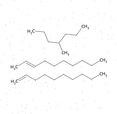 C=CCCCCCCCC.CC=CCCCCCCC.CCCC(C)CCC